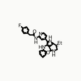 CC[C@H]1CNC(=O)c2c1[nH]c(-c1ccnc(NC(=O)Cc3ccc(F)cc3)c1)c2Nc1ccccc1